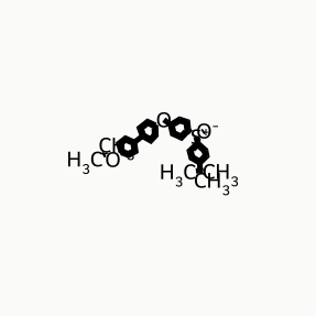 CC(C)Oc1ccc(-c2ccc(Oc3ccc([S+]([O-])c4ccc(C(C)(C)C)cc4)cc3)cc2)cc1